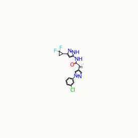 C[C@@H](C(=O)Nc1cc(C2CC2(F)F)n[nH]1)c1cnn(-c2cccc(Cl)c2)c1